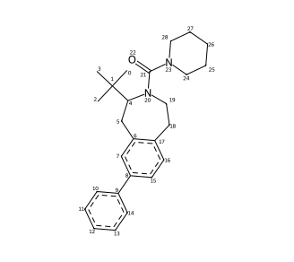 CC(C)(C)C1Cc2cc(-c3ccccc3)ccc2CCN1C(=O)N1CCCCC1